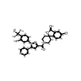 O=C1OC2(CCN(C(=O)c3cc(-c4ccncc4)n(-c4ccc(C(F)(F)F)c(F)c4)n3)CC2)c2ccc(Cl)cc21